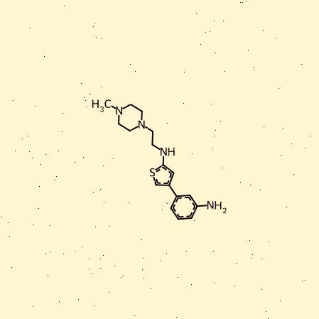 CN1CCN(CCNc2cc(-c3cccc(N)c3)cs2)CC1